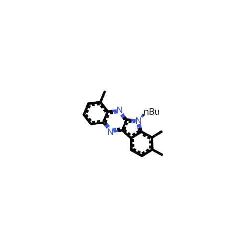 CCCCn1c2nc3c(C)cccc3nc2c2ccc(C)c(C)c21